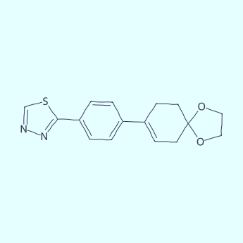 C1=C(c2ccc(-c3nncs3)cc2)CCC2(C1)OCCO2